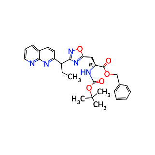 CCC(c1ccc2cccnc2n1)c1noc(C[C@H](NC(=O)OC(C)(C)C)C(=O)OCc2ccccc2)n1